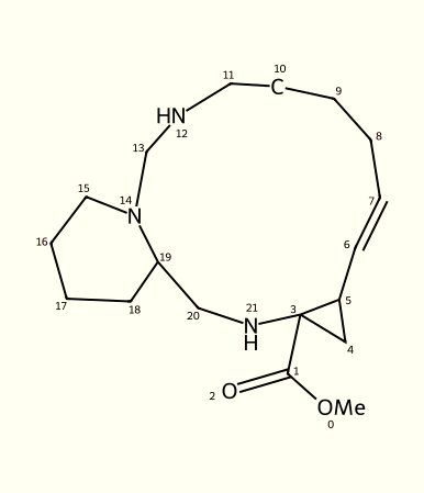 COC(=O)C12CC1/C=C/CCCCNCN1CCCCC1CN2